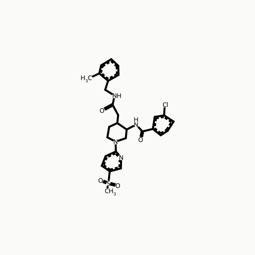 Cc1ccccc1CNC(=O)CC1CCN(c2ccc(S(C)(=O)=O)cn2)CC1NC(=O)c1cccc(Cl)c1